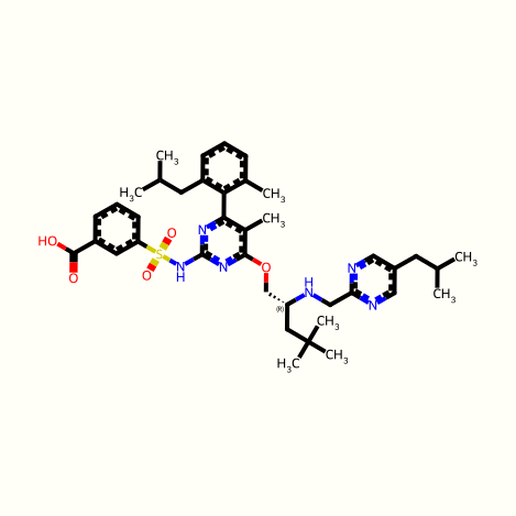 Cc1cccc(CC(C)C)c1-c1nc(NS(=O)(=O)c2cccc(C(=O)O)c2)nc(OC[C@@H](CC(C)(C)C)NCc2ncc(CC(C)C)cn2)c1C